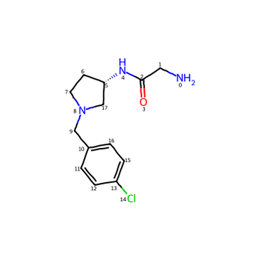 NCC(=O)N[C@H]1CCN(Cc2ccc(Cl)cc2)C1